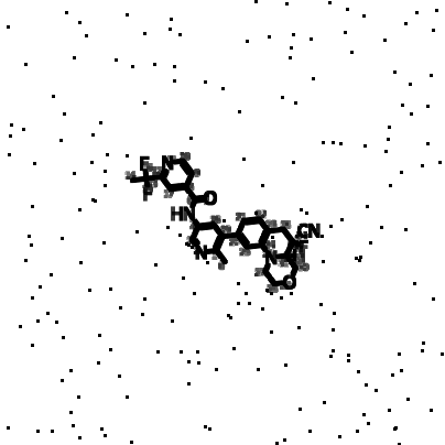 Cc1ncc(NC(=O)c2ccnc(C(C)(F)F)c2)cc1-c1ccc2c(c1)N1CCOC[C@H]1[C@@](F)(C#N)C2